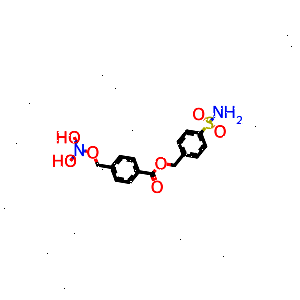 NS(=O)(=O)c1ccc(COC(=O)c2ccc(CON(O)O)cc2)cc1